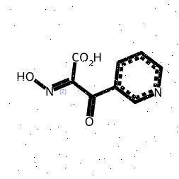 O=C(O)/C(=N\O)C(=O)c1cccnc1